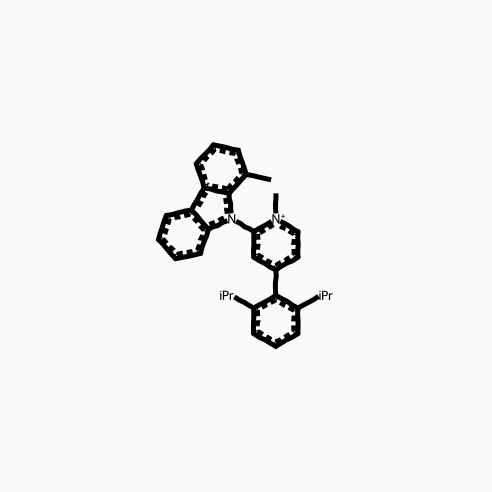 Cc1cccc2c3ccccc3n(-c3cc(-c4c(C(C)C)cccc4C(C)C)cc[n+]3C)c12